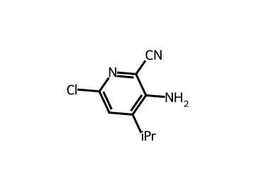 CC(C)c1cc(Cl)nc(C#N)c1N